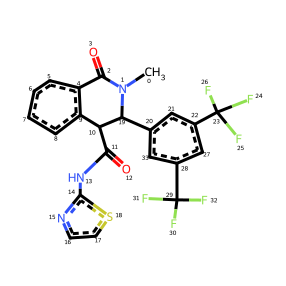 CN1C(=O)c2ccccc2C(C(=O)Nc2nccs2)C1c1cc(C(F)(F)F)cc(C(F)(F)F)c1